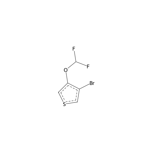 FC(F)Oc1cscc1Br